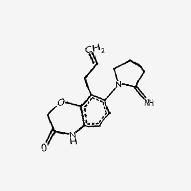 C=CCc1c(N2CCCC2=N)ccc2c1OCC(=O)N2